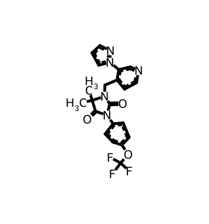 CC1(C)C(=O)N(c2ccc(OC(F)(F)F)cc2)C(=O)N1Cc1ccncc1-n1cccn1